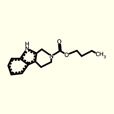 CCCCOC(=O)N1CCc2c([nH]c3ccccc23)C1